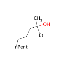 CCCCCCCCC(C)(O)CC